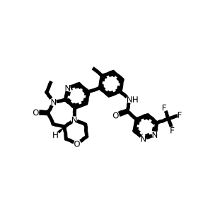 CCN1C(=O)C[C@H]2COCCN2c2cc(-c3cc(NC(=O)c4cnnc(C(F)(F)F)c4)ccc3C)cnc21